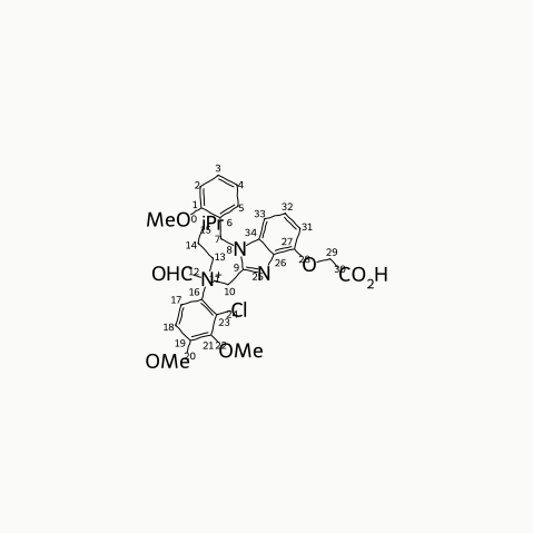 COc1ccccc1Cn1c(C[N+](C=O)(CCC(C)C)c2ccc(OC)c(OC)c2Cl)nc2c(OCC(=O)O)cccc21